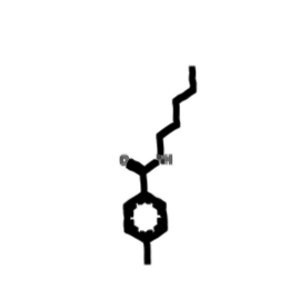 CCCCCNC(=O)c1ccc(C)cc1